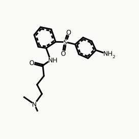 CN(C)CCCC(=O)Nc1ccccc1S(=O)(=O)c1ccc(N)cc1